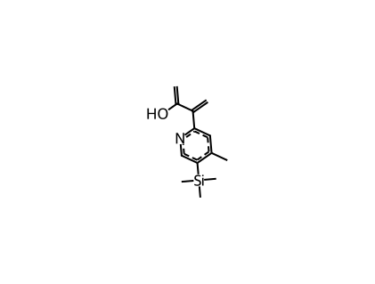 C=C(O)C(=C)c1cc(C)c([Si](C)(C)C)cn1